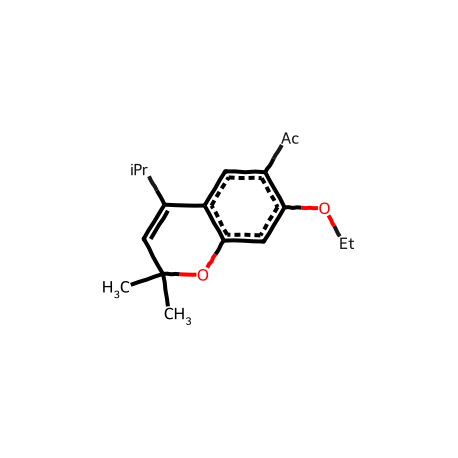 CCOc1cc2c(cc1C(C)=O)C(C(C)C)=CC(C)(C)O2